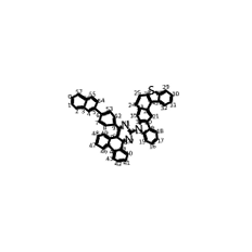 c1ccc2cc(-c3ccc(-c4nc(-n5c6ccccc6c6cc7c(ccc8sc9ccccc9c87)cc65)nc5c6ccccc6c6ccccc6c45)cc3)ccc2c1